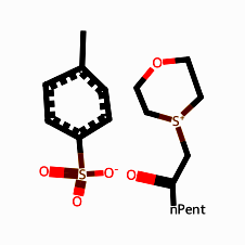 CCCCCC(=O)C[S+]1CCOCC1.Cc1ccc(S(=O)(=O)[O-])cc1